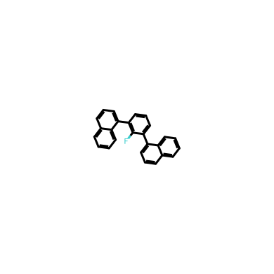 Fc1c(-c2cccc3ccccc23)cccc1-c1cccc2ccccc12